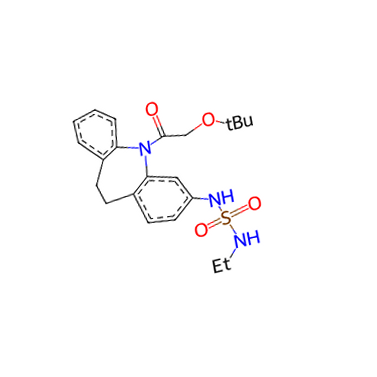 CCNS(=O)(=O)Nc1ccc2c(c1)N(C(=O)COC(C)(C)C)c1ccccc1CC2